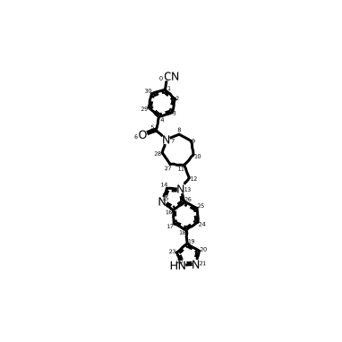 N#Cc1ccc(C(=O)N2CCCC(Cn3cnc4cc(-c5cn[nH]c5)ccc43)CC2)cc1